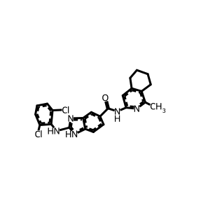 Cc1nc(NC(=O)c2ccc3[nH]c(Nc4c(Cl)cccc4Cl)nc3c2)cc2c1CCCC2